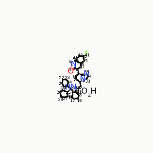 Cn1c(=O)c(-c2ccc(CC(NC(c3ccccc3)(c3ccccc3)c3ccccc3)C(=O)O)n3ccnc23)cc2cc(F)ccc21